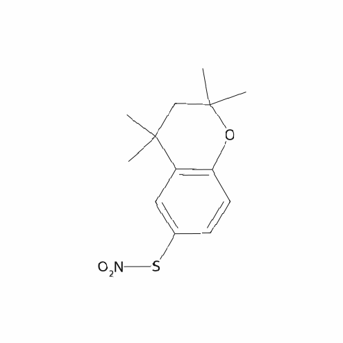 CC1(C)CC(C)(C)c2cc(S[N+](=O)[O-])ccc2O1